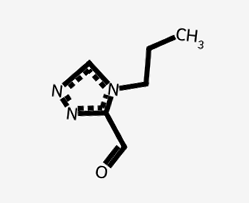 CCCn1cnnc1C=O